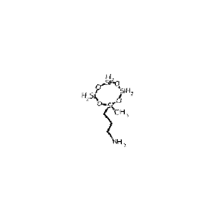 C[Si]1(CCCN)O[SiH2]O[SiH2]O[SiH2]O1